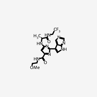 COCCNC(=O)c1cc(N[C@@H](C)C(=O)NCC(F)(F)F)nc(-c2c[nH]c3ncncc23)n1